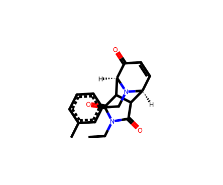 CCN1C(=O)C2C(C1=O)[C@@H]1C=CC(=O)[C@H]2N1Cc1cccc(C)c1